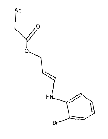 CC(=O)CC(=O)OCC=CNc1ccccc1Br